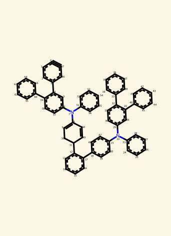 c1ccc(-c2cc(N(C3=CCC(c4ccccc4-c4ccc(N(c5ccccc5)c5ccc(-c6ccccc6)c(-c6ccccc6)c5)cc4)C=C3)c3ccccc3)ccc2-c2ccccc2)cc#1